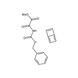 COC(=O)C(=O)NC(=O)OCc1ccccc1.c1cc2ccc1-2